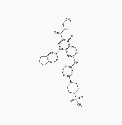 CONC(=O)c1cn(-c2ccc3c(c2)CCC3)c2nc(Nc3cccc(N4CCN(S(C)(=O)=O)CC4)c3)ncc2c1=O